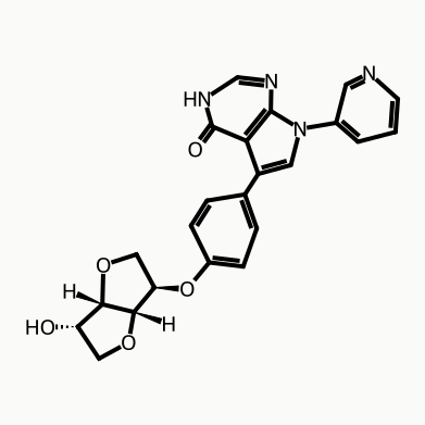 O=c1[nH]cnc2c1c(-c1ccc(O[C@@H]3CO[C@@H]4[C@H]3OC[C@@H]4O)cc1)cn2-c1cccnc1